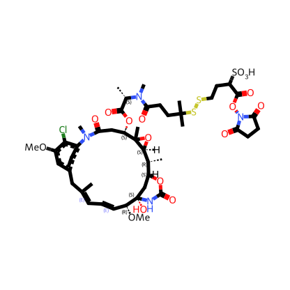 COc1cc2cc(c1Cl)N(C)C(=O)C[C@H](OC(=O)[C@H](C)N(C)C(=O)CCC(C)(C)SSCCC(C(=O)ON1C(=O)CCC1=O)S(=O)(=O)O)C1(C)O[C@H]1[C@H](C)[C@@H]1C[C@@](O)(NC(=O)O1)[C@H](OC)/C=C/C=C(\C)C2